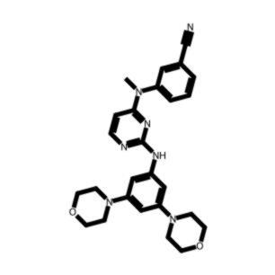 CN(c1cccc(C#N)c1)c1ccnc(Nc2cc(N3CCOCC3)cc(N3CCOCC3)c2)n1